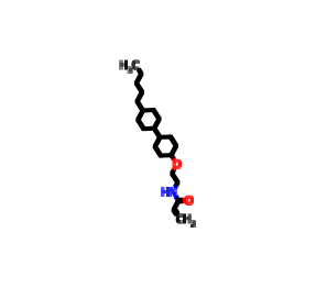 C=CC(=O)NCCOC1CCC(C2CCC(CCCCC)CC2)CC1